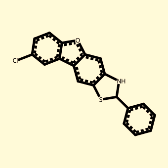 Clc1ccc2oc3cc4c(cc3c2c1)SC(c1ccccc1)N4